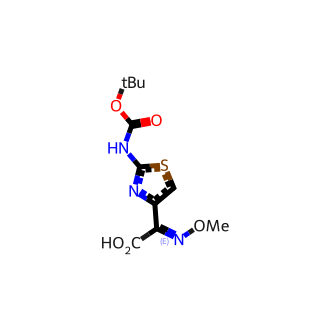 CO/N=C(/C(=O)O)c1csc(NC(=O)OC(C)(C)C)n1